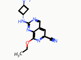 CCOc1nc(C#N)cc2cnc(N[C@H]3C[C@H](N)C3)nc12